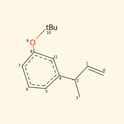 C=C[C](C)c1cccc(OC(C)(C)C)c1